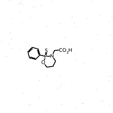 O=C(O)CN1CCCOP1(=S)c1ccccc1